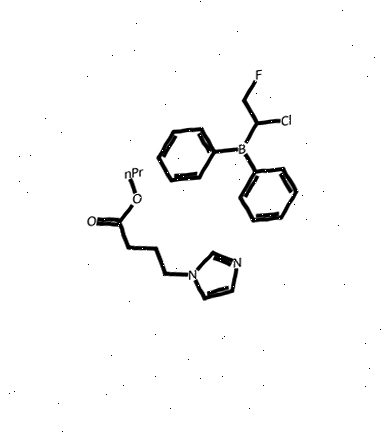 CCCOC(=O)CCCn1ccnc1.FCC(Cl)B(c1ccccc1)c1ccccc1